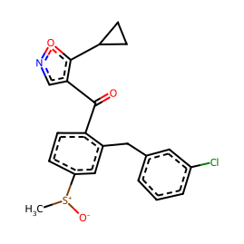 C[S+]([O-])c1ccc(C(=O)c2cnoc2C2CC2)c(Cc2cccc(Cl)c2)c1